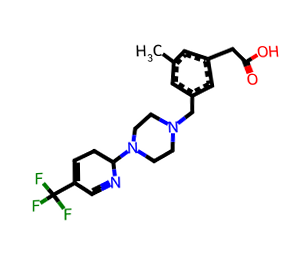 Cc1cc(CC(=O)O)cc(CN2CCN(C3CC=C(C(F)(F)F)C=N3)CC2)c1